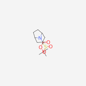 CC(C)(C)OC(=O)N1C2CCC1CC(=S(=O)=O)C2